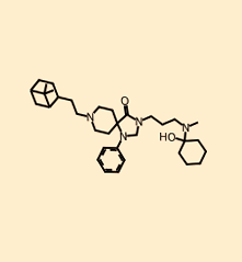 CN(CCCN1CN(c2ccccc2)C2(CCN(CCC3CCC4CC3C4(C)C)CC2)C1=O)C1(O)CCCCC1